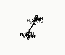 CC1(C)CC(OC(=O)CCCCCCCCC(=O)OC2CC(C)(C)N(OC(CO)c3ccccc3)C(C)(C)C2)CC(C)(C)N1OC(CO)c1ccccc1